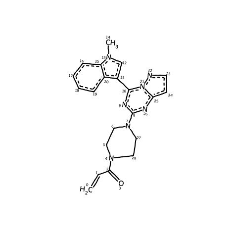 C=CC(=O)N1CCN(c2nc(-c3cn(C)c4ccccc34)n3nccc3n2)CC1